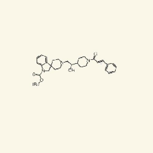 CC(C)(C)OC(=O)N1CC2(CCN(CC(O)C3CCN(C(=O)/C=C/c4ccccc4)CC3)CC2)c2ccccc21